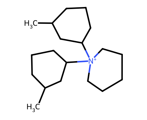 CC1CCCC([N+]2(C3CCCC(C)C3)CCCCC2)C1